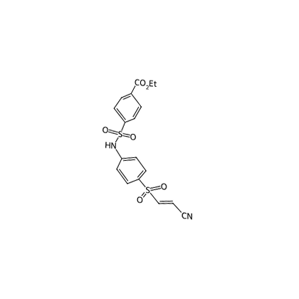 CCOC(=O)c1ccc(S(=O)(=O)Nc2ccc(S(=O)(=O)C=CC#N)cc2)cc1